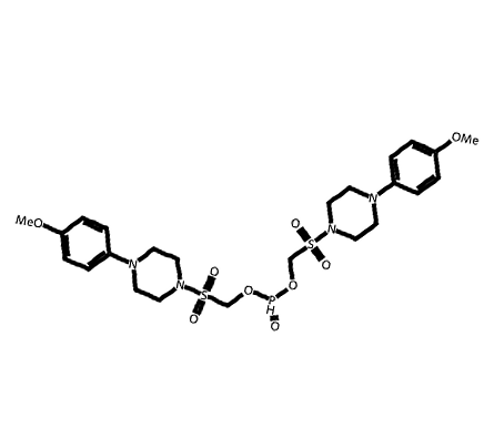 COc1ccc(N2CCN(S(=O)(=O)CO[PH](=O)OCS(=O)(=O)N3CCN(c4ccc(OC)cc4)CC3)CC2)cc1